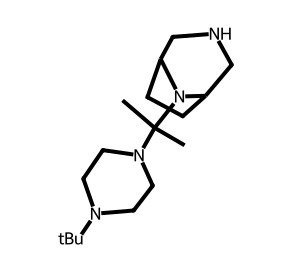 CC(C)(C)N1CCN(C(C)(C)N2C3CCC2CNC3)CC1